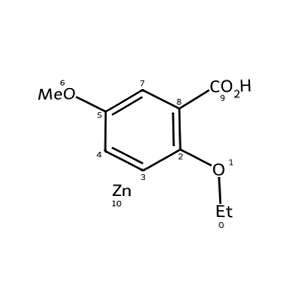 CCOc1ccc(OC)cc1C(=O)O.[Zn]